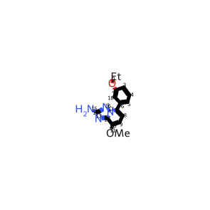 CCOc1cccc(-c2ccc(OC)c3nc(N)nn23)c1